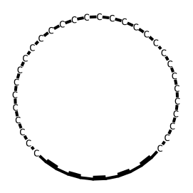 C1=CC=CC=CCCCCCCCCCCCCCCCCCCCCCCCCCCCCCCC=CC=C1